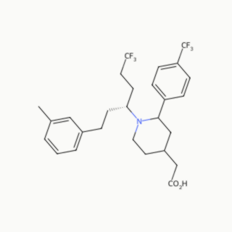 Cc1cccc(CC[C@H](CCC(F)(F)F)N2CCC(CC(=O)O)CC2c2ccc(C(F)(F)F)cc2)c1